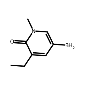 Bc1cc(CC)c(=O)n(C)c1